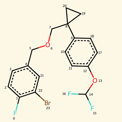 Fc1ccc(COCC2(c3ccc(OC(F)F)cc3)CC2)cc1Br